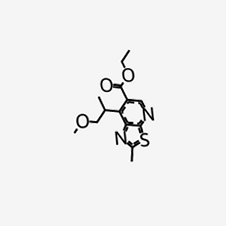 CCOC(=O)c1cnc2sc(C)nc2c1C(C)COC